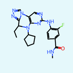 CCC1c2nncn2-c2cnc(Nc3ccc(C(=O)NC)cc3F)nc2N1C1CCCC1